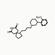 COc1ccccc1C1CCCN(CCCCC2CCCC23CC(=O)NC(=O)C3)C1